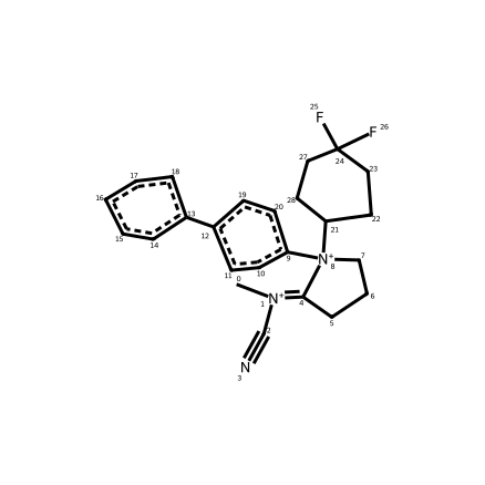 C[N+](C#N)=C1CCC[N+]1(c1ccc(-c2ccccc2)cc1)C1CCC(F)(F)CC1